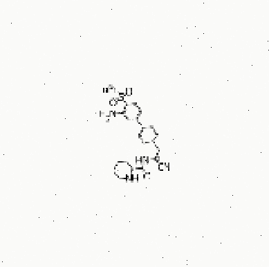 CCCS(=O)(=O)c1ccc(-c2ccc(C[C@@H](C#N)NC(=O)[C@@H]3CCCCN3)cc2)cc1N